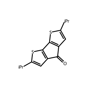 CC(C)c1cc2c(s1)-c1sc(C(C)C)cc1C2=O